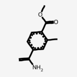 C=C(N)c1ccc(C(=O)OC)c(C)c1